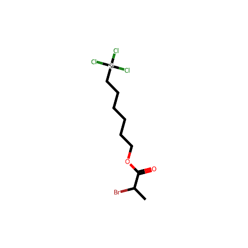 CC(Br)C(=O)OCCCCCC[Si](Cl)(Cl)Cl